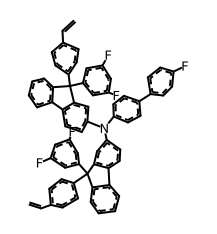 C=Cc1ccc(C2(c3cc(F)cc(F)c3)c3ccccc3-c3ccc(N(c4ccc(-c5ccc(F)cc5)cc4)c4ccc5c(c4)C(c4ccc(C=C)cc4)(c4cc(F)cc(F)c4)c4ccccc4-5)cc32)cc1